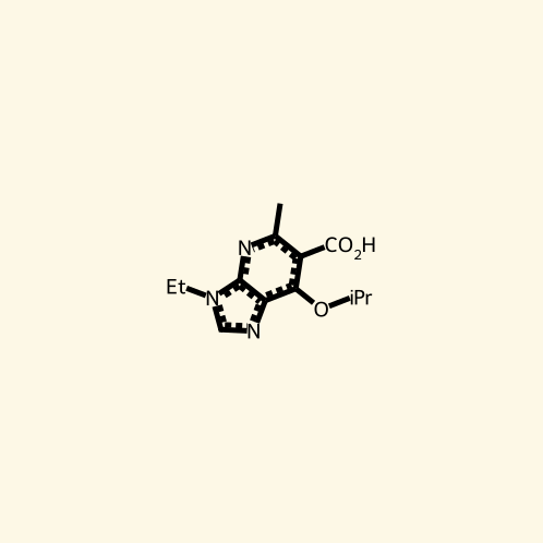 CCn1cnc2c(OC(C)C)c(C(=O)O)c(C)nc21